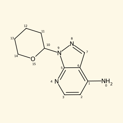 Nc1ccnc2c1cnn2C1CCCCO1